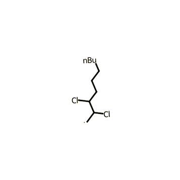 [CH2]C(Cl)C(Cl)CCCCCCC